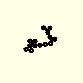 C1=CC2c3ccccc3C(c3ccc(-c4ccccc4-c4ccccc4)cc3)(c3cccc(-c4ccc(-c5ccc(-c6cccc(-n7c8ccccc8c8cc(-c9ccc%10c(c9)c9ccccc9n%10-c9ccccc9)ccc87)c6)cc5)cc4)c3)C2C=C1